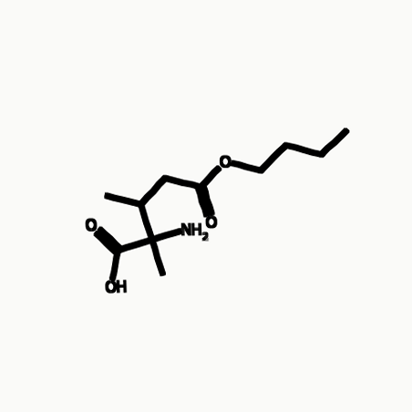 CCCCOC(=O)CC(C)C(C)(N)C(=O)O